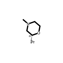 CC(C)[C@@H]1CN(C)CCO1